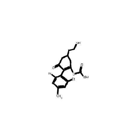 CCc1cc(C)cc(CC)c1C1=C(OC(=O)C(C)(C)C)CC(CCS)CC1=O